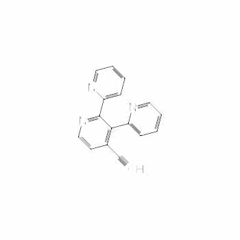 C#Cc1ccnc(-c2ccccn2)c1-c1ccccn1